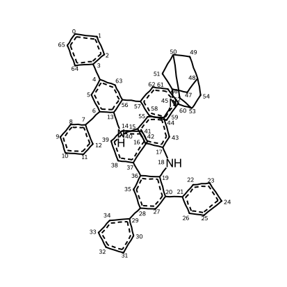 c1ccc(-c2cc(-c3ccccc3)c(Nc3cc(Nc4c(-c5ccccc5)cc(-c5ccccc5)cc4-c4ccccc4)cc(N4C5CC6CC(C5)CC4C6)c3)c(-c3ccccc3)c2)cc1